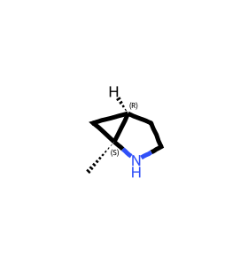 C[C@]12C[C@H]1CCN2